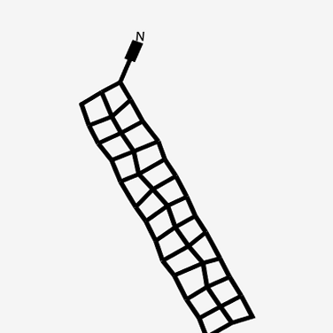 N#CC1C2CC3C4C5C6C7C8C9C%10C%11C%12C%13CC%14CC%15C%16C%17C%18C%19C%20C%21C%22C%23C%24C1C23C4%24C5%23C6%22C7%21C8%20C9%19C%10%18C%11%17C%12%16C%14%13%15